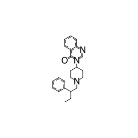 CCC(CN1CCC(n2cnc3ccccc3c2=O)CC1)c1ccccc1